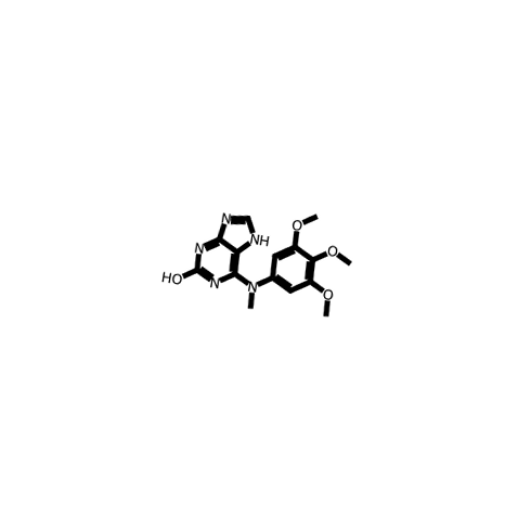 COc1cc(N(C)c2nc(O)nc3nc[nH]c23)cc(OC)c1OC